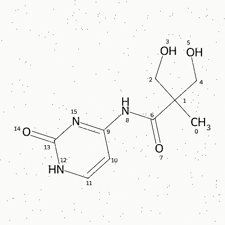 CC(CO)(CO)C(=O)Nc1cc[nH]c(=O)n1